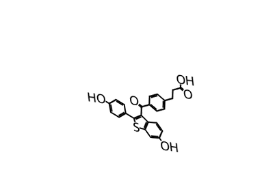 O=C(O)CCc1ccc(C(=O)c2c(-c3ccc(O)cc3)sc3cc(O)ccc23)cc1